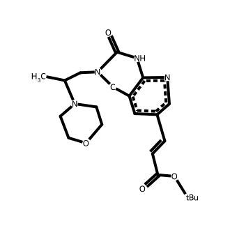 CC(CN1Cc2cc(C=CC(=O)OC(C)(C)C)cnc2NC1=O)N1CCOCC1